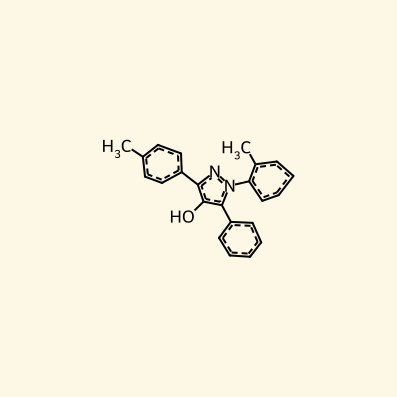 Cc1ccc(-c2nn(-c3ccccc3C)c(-c3ccccc3)c2O)cc1